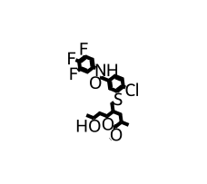 COC(=O)C(C)CC(CCC(C)O)CSc1cc(C(=O)Nc2cc(F)c(F)c(F)c2)ccc1Cl